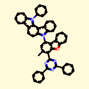 Cc1cc(-n2c3ccccc3c3c2ccc2c4ccccc4n(-c4ccccc4)c23)c2c(oc3ccccc32)c1-c1nc(-c2ccccc2)nc(-c2ccccc2)n1